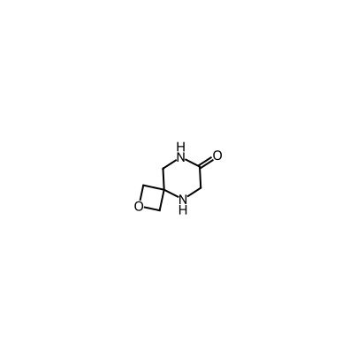 O=C1CNC2(CN1)COC2